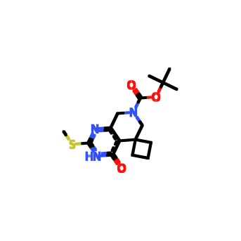 CSc1nc2c(c(=O)[nH]1)C1(CCC1)CN(C(=O)OC(C)(C)C)C2